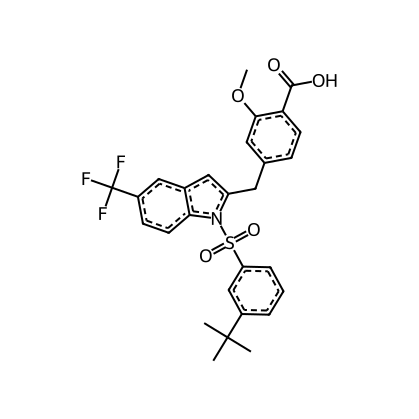 COc1cc(Cc2cc3cc(C(F)(F)F)ccc3n2S(=O)(=O)c2cccc(C(C)(C)C)c2)ccc1C(=O)O